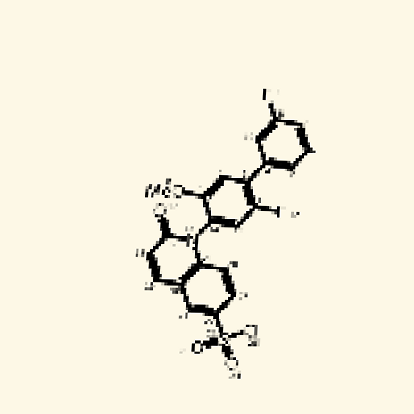 COc1cc(-c2cccc(F)c2)c(F)cc1-n1c(=O)ccc2cc(S(=O)(=O)Cl)ccc21